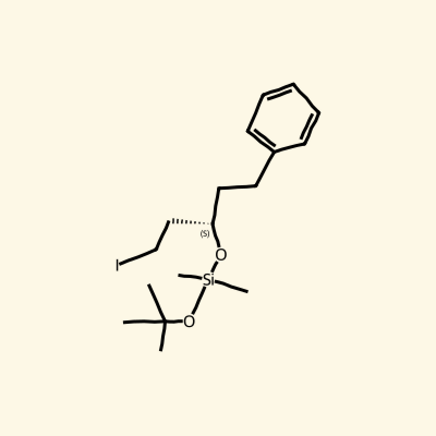 CC(C)(C)O[Si](C)(C)O[C@H](CCI)CCc1ccccc1